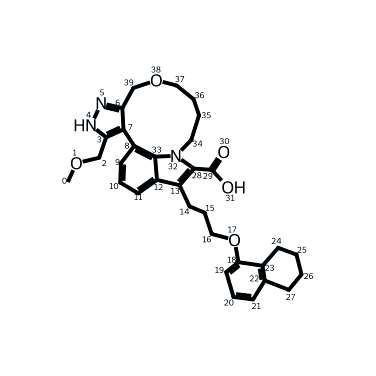 COCc1[nH]nc2c1-c1cccc3c(CCCOc4cccc5c4CCCC5)c(C(=O)O)n(c13)CCCCOC2